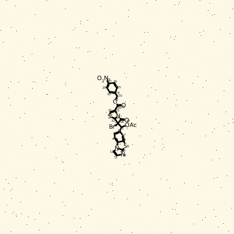 CC(=O)OC(c1ccc2c(c1)sc1nccn12)C1(Br)C(=O)N2C(C(=O)OCc3ccc([N+](=O)[O-])cc3)=CSC21